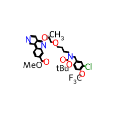 COC(=O)c1ccc2c(c1)nc(O[C@H](C)COCCCCN(Cc1ccc(OC(F)(F)F)c(Cl)c1)C(=O)OC(C)(C)C)c1ccncc12